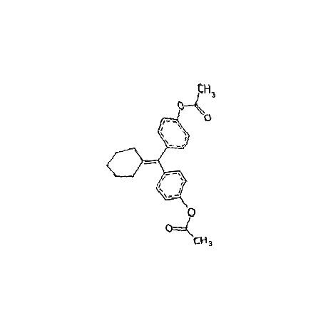 CC(=O)Oc1ccc(C(=C2CCCCC2)c2ccc(OC(C)=O)cc2)cc1